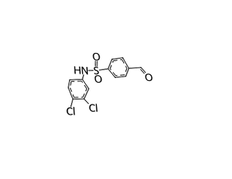 O=Cc1ccc(S(=O)(=O)Nc2ccc(Cl)c(Cl)c2)cc1